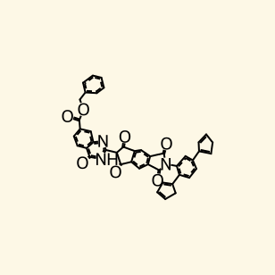 O=C(OCc1ccccc1)c1ccc2c(=O)[nH]c(C3C(=O)c4cc5c(cc4C3=O)C(=O)N(c3cc(C4=CCC=C4)ccc3C3=CC=CC3)C5=O)nc2c1